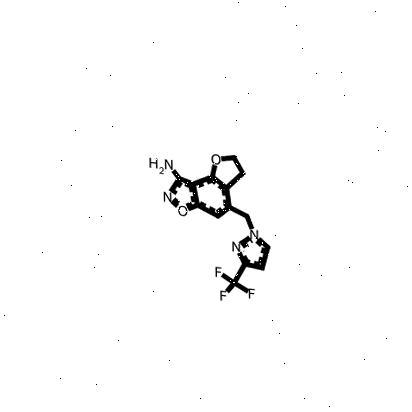 Nc1noc2cc(Cn3ccc(C(F)(F)F)n3)c3c(c12)OCC3